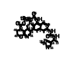 Cc1c(-c2cc3cc(NC(=O)NC(C)c4cnn(C)c4)ncc3c(NC(=O)OC(C)(C)C)c2F)cnc2c1N(C(=O)OC(C)(C)C)CCO2